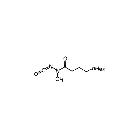 CCCCCCCCCC(=O)N(O)N=C=O